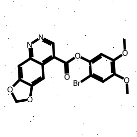 COc1cc(Br)c(OC(=O)c2cnnc3cc4c(cc23)OCO4)cc1OC